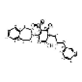 Cc1nc(N2CCc3ccccc3CC2)c([N+](=O)[O-])c(=O)n1CCCc1cccnc1